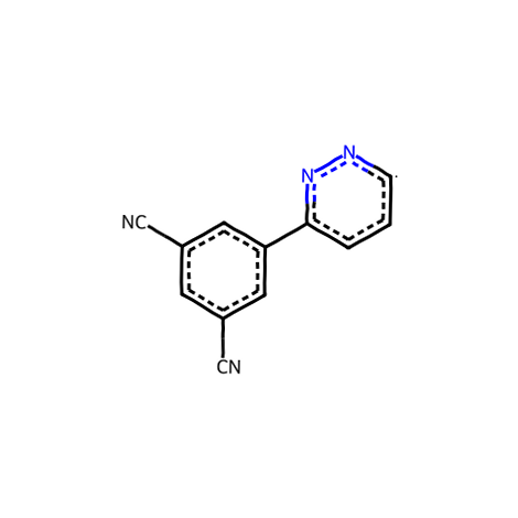 N#Cc1cc(C#N)cc(-c2cc[c]nn2)c1